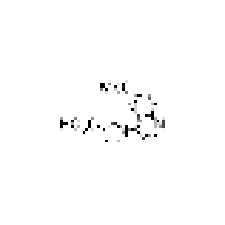 COc1ccc2nccc(N3CCC(C(=O)O)C3)c2n1